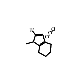 CC1[C]([Ti+3])=CC2=C1CCCC2.[Cl-].[Cl-].[Cl-]